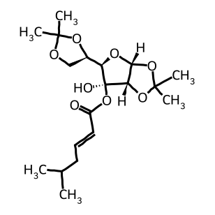 CC(C)CC=CC(=O)O[C@@]1(O)[C@@H]([C@H]2COC(C)(C)O2)O[C@@H]2OC(C)(C)O[C@@H]21